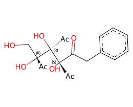 CC(=O)[C@](O)(C(=O)Cc1ccccc1)[C@@](O)(C(C)=O)[C@](O)(CO)C(C)=O